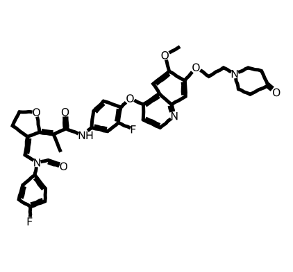 COc1cc2c(Oc3ccc(NC(=O)/C(C)=C4\OCC\C4=C\N(C=O)c4ccc(F)cc4)cc3F)ccnc2cc1OCCN1CCC(=O)CC1